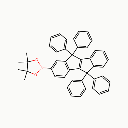 CC1(C)OB(c2ccc3c(c2)C(c2ccccc2)(c2ccccc2)C2=C3C(c3ccccc3)(c3ccccc3)c3ccccc32)OC1(C)C